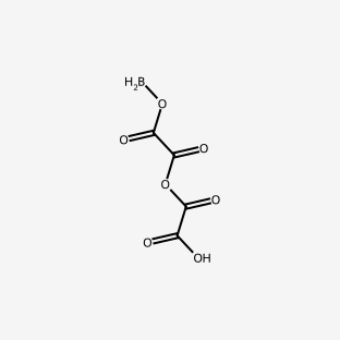 BOC(=O)C(=O)OC(=O)C(=O)O